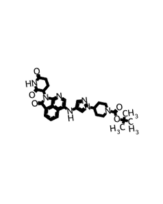 CC(C)(C)OC(=O)N1CCC(n2cc(Nc3cnc4c5c(cccc35)C(=O)N4C3CCC(=O)NC3=O)cn2)CC1